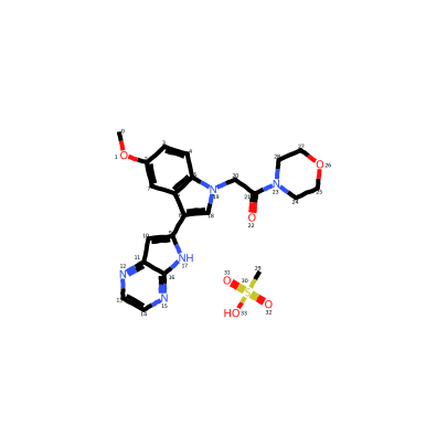 COc1ccc2c(c1)c(-c1cc3nccnc3[nH]1)cn2CC(=O)N1CCOCC1.CS(=O)(=O)O